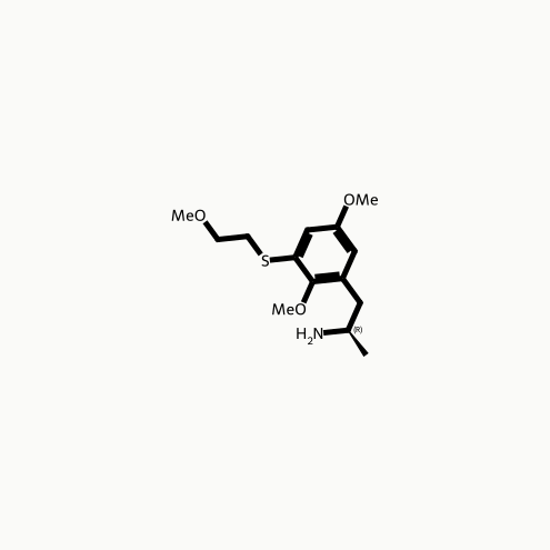 COCCSc1cc(OC)cc(C[C@@H](C)N)c1OC